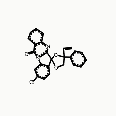 C=CC1(c2ccccc2)COC2(O1)c1ccc(Cl)cc1-n1c2nc2ccccc2c1=O